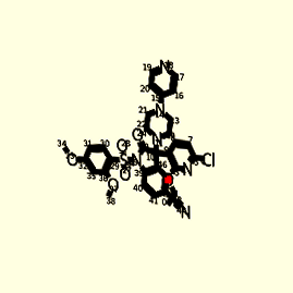 CCOc1nc(Cl)ccc1C1(N2CCN(c3ccncc3)CC2)C(=O)N(S(=O)(=O)c2ccc(OC)cc2OC)c2ccc(C#N)cc21